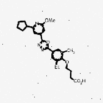 CCc1cc(-c2nnc(-c3cc(OC)nc(C4CCCC4)c3)o2)cc(C)c1OCCCC(=O)O